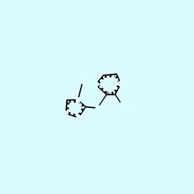 Cn1cnnc1Sc1nccnc1N